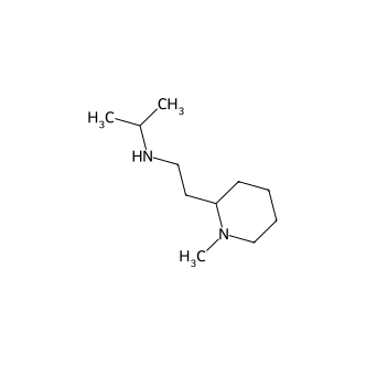 CC(C)NCCC1CCCCN1C